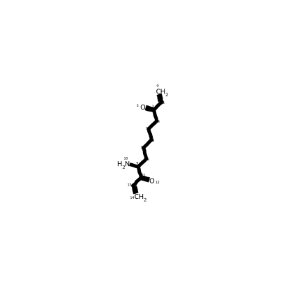 C=CC(=O)CCCCCC(N)C(=O)C=C